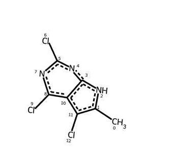 Cc1[nH]c2nc(Cl)nc(Cl)c2c1Cl